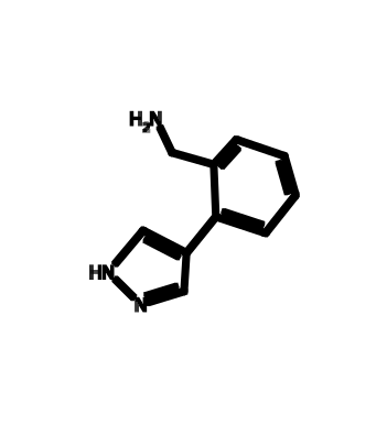 NCc1ccccc1-c1cn[nH]c1